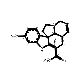 CC[C@]12C=CCN3CC[C@]4(C(=C(C(=O)OC)C1)Nc1cc(OC)ccc14)[C@@H]32